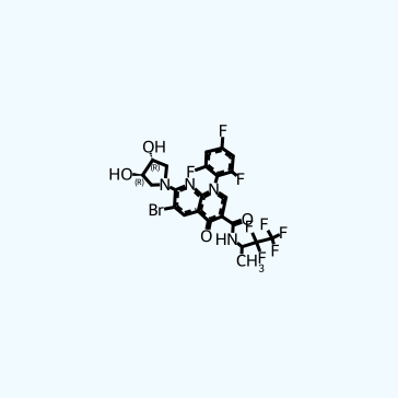 CC(NC(=O)c1cn(-c2c(F)cc(F)cc2F)c2nc(N3C[C@@H](O)[C@H](O)C3)c(Br)cc2c1=O)C(F)(F)C(F)(F)F